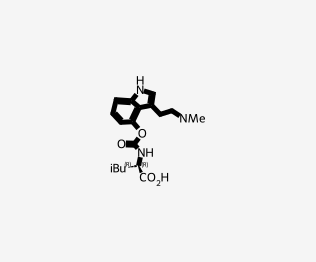 CC[C@@H](C)[C@@H](NC(=O)Oc1cccc2[nH]cc(CCNC)c12)C(=O)O